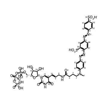 CN(CCCC(=O)NC/C=C/c1cn([C@@H]2O[C@H](COP(=O)(O)OP(=O)(O)OP(=O)(O)O)[C@@H](O)[C@H]2O)c(=O)[nH]c1=O)c1ccc(N=Nc2ccc(N=Nc3ccc(S(=O)(=O)O)cc3)cc2S(=O)(=O)O)cc1